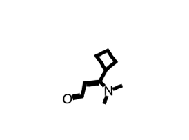 CN(C)C(=CC=O)C1CCC1